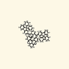 S=P12c3c4cccc3N(c3ccc5c(c3)C(c3ccccc3)(c3ccccc3)c3ccccc3-5)c3ccc5c(c31)N1c3c(cccc3O5)Oc3ccc(c2c31)N4c1ccc2c(c1)C(c1ccccc1)(c1ccccc1)c1ccccc1-2